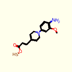 COc1cc(N2CCC(CCC(=O)OS)CC2)ccc1N